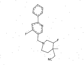 CC1(CC#N)CCN(Cc2cnc(-c3ccccc3)cc2F)CC1F